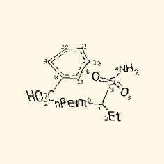 CCCCCC(CC)S(N)(=O)=O.O=C(O)c1ccccc1